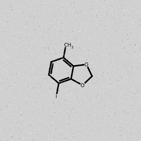 Cc1ccc(I)c2c1OCO2